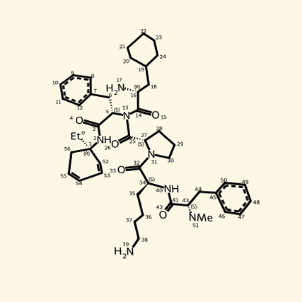 CC[C@]1(NC(=O)[C@H](Cc2ccccc2)N(C(=O)[C@H](N)CC2CCCCC2)C(=O)[C@@H]2CCCN2C(=O)[C@H](CCCCN)NC(=O)[C@H](Cc2ccccc2)NC)C=CC=CC1